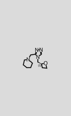 c1nnc(CN2CCCCC2)n1C[C@@H]1CCO1